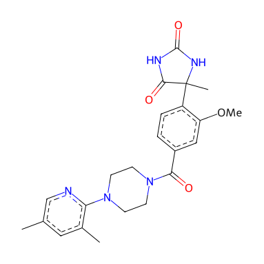 COc1cc(C(=O)N2CCN(c3ncc(C)cc3C)CC2)ccc1C1(C)NC(=O)NC1=O